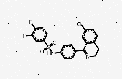 O=S(=O)(Nc1ccc(C2=NCCc3ccc(Cl)cc32)cc1)c1ccc(F)c(F)c1